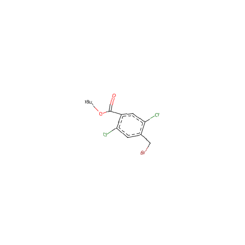 CC(C)(C)OC(=O)c1cc(Cl)c(CBr)cc1Cl